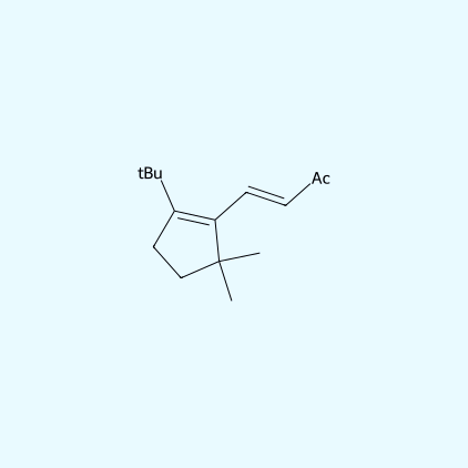 CC(=O)C=CC1=C(C(C)(C)C)CCC1(C)C